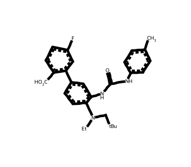 CCN(CC(C)(C)C)c1ccc(-c2cc(F)ccc2C(=O)O)cc1NC(=O)Nc1ccc(C)cc1